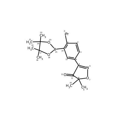 CC(C)c1ccc(C2=NOC(C)(C)C2=O)cc1B1OC(C)(C)C(C)(C)O1